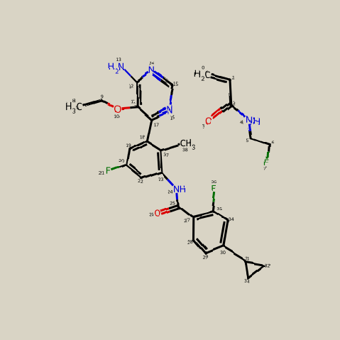 C=CC(=O)NCCF.CCOc1c(N)ncnc1-c1cc(F)cc(NC(=O)c2ccc(C3CC3)cc2F)c1C